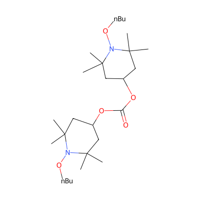 CCCCON1C(C)(C)CC(OC(=O)OC2CC(C)(C)N(OCCCC)C(C)(C)C2)CC1(C)C